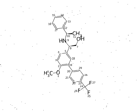 COc1ccc([C@H](CO)N[C@H](C)c2ccccc2)cc1-c1ccc(C(F)(F)F)cc1